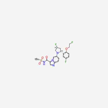 CC(C)(C)S(=O)(=O)NC(=O)c1cnc2ccc(N3C[C@@H](F)C[C@@H]3c3cc(F)ccc3OCCF)cn12